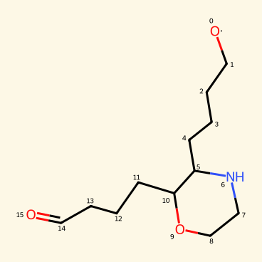 [O]CCCCC1NCCOC1CCCC=O